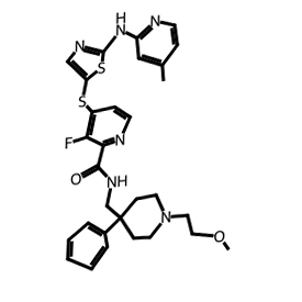 COCCN1CCC(CNC(=O)c2nccc(Sc3cnc(Nc4cc(C)ccn4)s3)c2F)(c2ccccc2)CC1